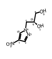 O=[N+]([O-])c1cnn(C[C@H](O)CO)c1